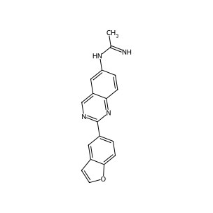 CC(=N)Nc1ccc2nc(-c3ccc4occc4c3)ncc2c1